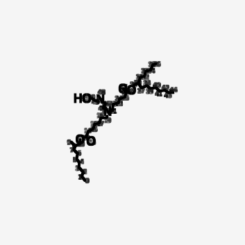 CCCCCCCCC(C)COC(=O)CCCCCCN(CCCCCC(=O)OCC(CCCCCC)CCCCCCCC)CCN(C)CCO